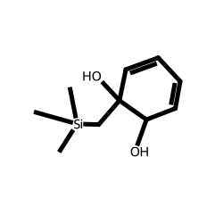 C[Si](C)(C)CC1(O)C=CC=CC1O